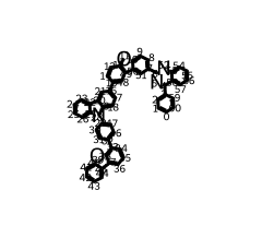 c1ccc(-c2nc(-c3ccc4oc5ccc(-c6ccc7c(c6)c6ccccc6n7-c6ccc(-c7cccc8c7oc7ccccc78)cc6)cc5c4c3)nc3ccccc23)cc1